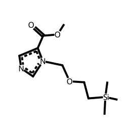 COC(=O)c1cncn1COCC[Si](C)(C)C